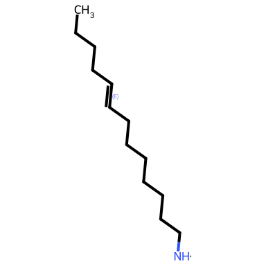 CCCC/C=C/CCCCCCC[NH]